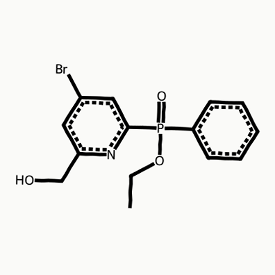 CCOP(=O)(c1ccccc1)c1cc(Br)cc(CO)n1